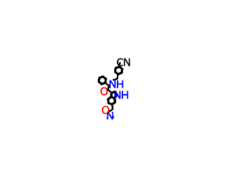 CN(C)C(=O)Cc1ccc2c(C(=O)C(NCCc3ccc(C#N)cc3)c3ccccc3)c[nH]c2c1